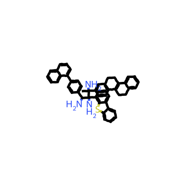 CC(N)(c1ccc2c(c1)CCC1=C2CCc2ccccc21)C(N)(c1cccc2c1sc1ccccc12)C(N)c1ccc(-c2cccc3ccccc23)cc1